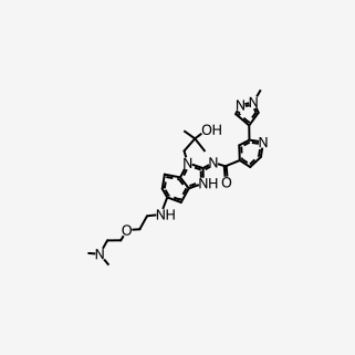 CN(C)CCOCCNc1ccc2c(c1)[nH]/c(=N\C(=O)c1ccnc(-c3cnn(C)c3)c1)n2CC(C)(C)O